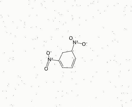 O=[N+]([O-])[C]1C=CC=C([N+](=O)[O-])C1